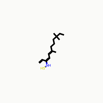 C=C/C(=C\C=C(/C)CCCC(C)(C)CC)NS